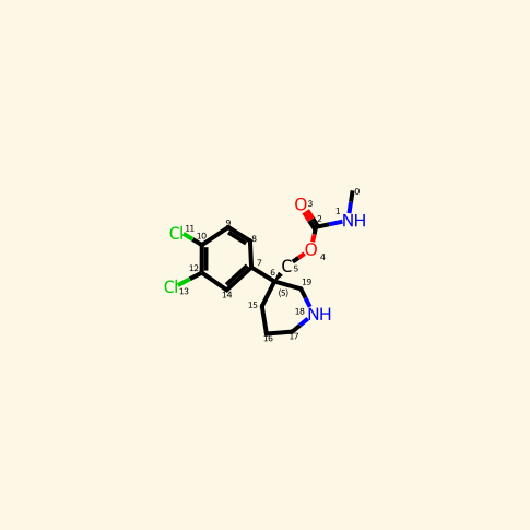 CNC(=O)OC[C@]1(c2ccc(Cl)c(Cl)c2)CCCNC1